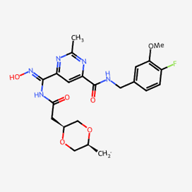 [CH2][C@H]1CO[C@@H](CC(=O)N/C(=N\O)c2cc(C(=O)NCc3ccc(F)c(OC)c3)nc(C)n2)CO1